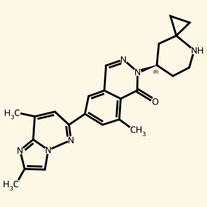 Cc1cn2nc(-c3cc(C)c4c(=O)n([C@@H]5CCNC6(CC6)C5)ncc4c3)cc(C)c2n1